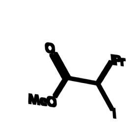 COC(=O)C(I)C(C)C